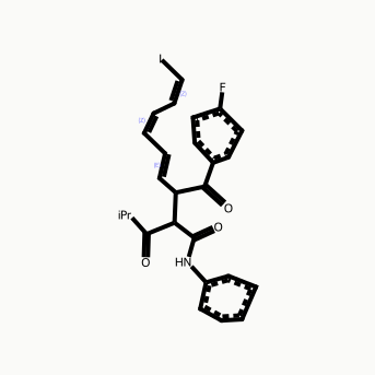 CC(C)C(=O)C(C(=O)Nc1ccccc1)C(/C=C/C=C\C=C/I)C(=O)c1ccc(F)cc1